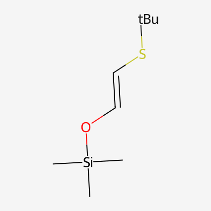 CC(C)(C)SC=CO[Si](C)(C)C